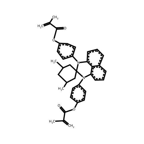 C=C(C)C(=O)Oc1ccc(N2c3cccc4cccc(c34)N(c3ccc(OC(=O)C(=C)C)cc3)C23CC(C)CC(C)C3)cc1